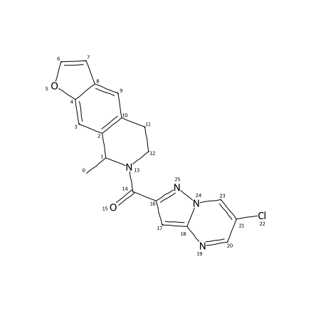 CC1c2cc3occc3cc2CCN1C(=O)c1cc2ncc(Cl)cn2n1